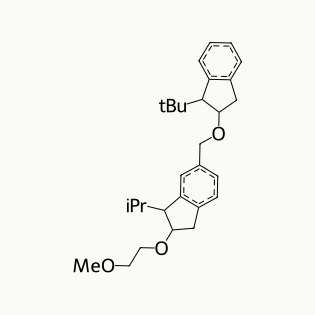 COCCOC1Cc2ccc(COC3Cc4ccccc4C3C(C)(C)C)cc2C1C(C)C